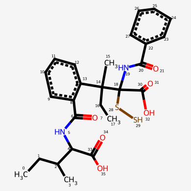 CCC(C)C(NC(=O)c1ccccc1C(C)(CC)C(NC(=O)c1ccccc1)(SS)C(=O)O)C(=O)O